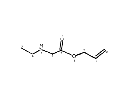 C=CCOC(=O)CNCC